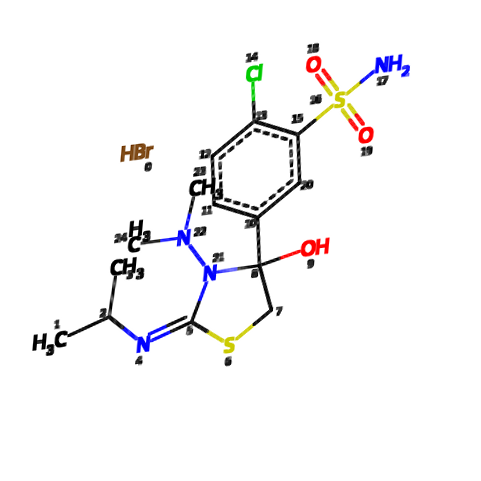 Br.CC(C)N=C1SCC(O)(c2ccc(Cl)c(S(N)(=O)=O)c2)N1N(C)C